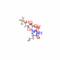 C=CCc1cn(C2OC(CCP(=C)(C)C)[C@@H](O)[C@H]2O)c(=O)[nH]c1=O